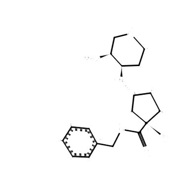 CO[C@H]1COCC[C@H]1N[C@@H]1CC[C@@](C(=O)OCc2ccccc2)(C(C)C)C1